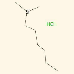 CCCCCC[Si](C)C.Cl